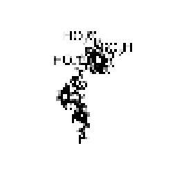 CCC1(CC)C(=O)N(C(CCCCN(Cc2ccc([N+](=O)[O-])cc2)C(=O)CCCCn2cc(CCCF)nn2)C(=O)O)C(=O)N(C(CCC(=O)O)C(=O)O)C1=O